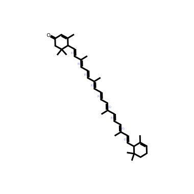 CC1=CCCC(C)(C)C1/C=C/C(C)=C/C=C/C(C)=C/C=C/C=C(C)/C=C/C=C(C)/C=C/C1C(C)=CC(=O)CC1(C)C